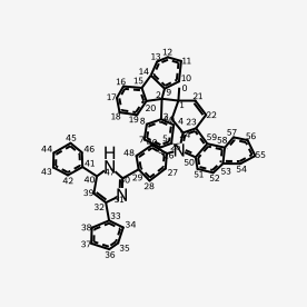 CC1(C2(c3ccccc3)c3ccccc3-c3ccccc32)C=Cc2c(n(-c3ccc(C4=NC(c5ccccc5)=CC(c5ccccc5)N4)cc3)c3ccc4ccccc4c23)C1